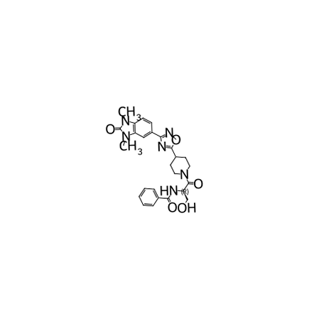 Cn1c(=O)n(C)c2cc(-c3noc(C4CCN(C(=O)[C@@H](CO)NC(=O)c5ccccc5)CC4)n3)ccc21